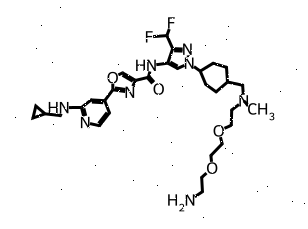 CN(CCOCCOCCN)CC1CCC(n2cc(NC(=O)c3coc(-c4ccnc(NCC5CC5)c4)n3)c(C(F)F)n2)CC1